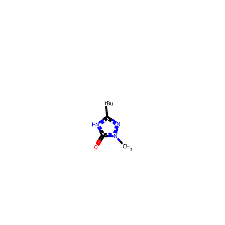 Cn1nc(C(C)(C)C)[nH]c1=O